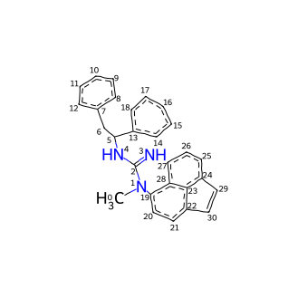 CN(C(=N)NC(Cc1ccccc1)c1ccccc1)c1ccc2c3c(cccc13)C=C2